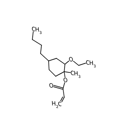 C=CC(=O)OC1(C)CCC(CCCC)CC1OCC